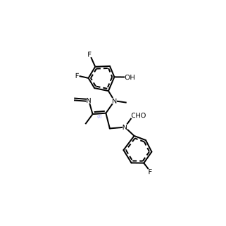 C=N/C(C)=C(/CN(C=O)c1ccc(F)cc1)N(C)c1cc(F)c(F)cc1O